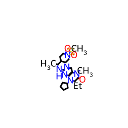 CCC1C(=O)N(C)c2cnc(NC(C)C3CCN(S(C)(=O)=O)CC3)nc2N1C1CCCC1